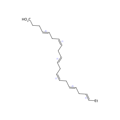 CC/C=C/C/C=C/C/C=C\C/C=C/C/C=C\C/C=C/CCC(=O)O